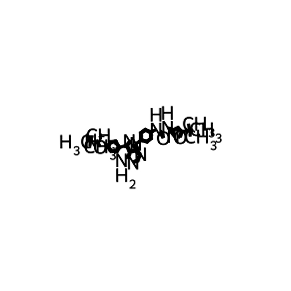 CC(C)(C)c1cc(NC(=O)Nc2ccc(-n3nc(-c4ccc(OC[N+](C)(C)C)cc4)c4c(N)ncnc43)cc2)no1